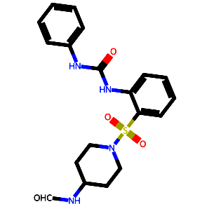 O=CNC1CCN(S(=O)(=O)c2ccccc2NC(=O)Nc2ccccc2)CC1